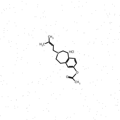 CC(=O)Oc1ccc2c(c1)CCN(CC=C(C)C)CC2.Cl